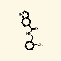 O=C(NCc1ccccc1C(F)(F)F)c1ccc2[nH]ccc2c1